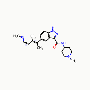 C=N/C=C\C(=C(/C)c1ccc2[nH]nc(C(=O)NC3CCN(C)CC3)c2c1)C(F)(F)F